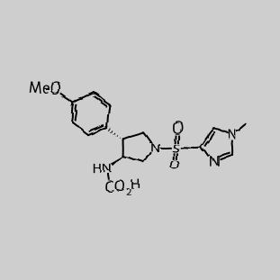 COc1ccc([C@@H]2CN(S(=O)(=O)c3cn(C)cn3)C[C@H]2NC(=O)O)cc1